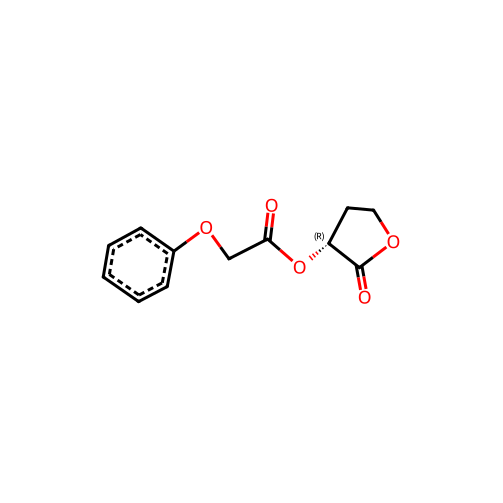 O=C(COc1ccccc1)O[C@@H]1CCOC1=O